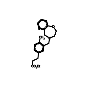 CCOC(=O)CCc1ccc(C)c(CN2CCOc3cccnc3C2)c1